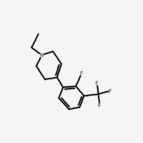 CCN1CC=C(c2cccc(C(F)(F)F)c2F)CC1